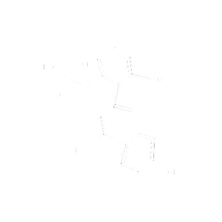 CC(CC(=O)c1c(O)cccc1SP(=O)(O)O)c1ccc(O)cc1